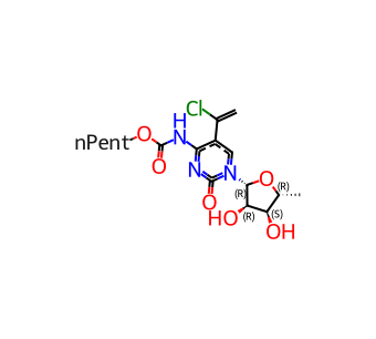 C=C(Cl)c1cn([C@@H]2O[C@H](C)[C@@H](O)[C@H]2O)c(=O)nc1NC(=O)OCCCCC